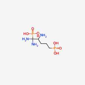 NC(CCCP(=O)(O)O)C(N)(N)P(=O)(O)O